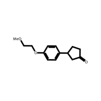 COCCOc1ccc(C2CCC(=O)C2)cc1